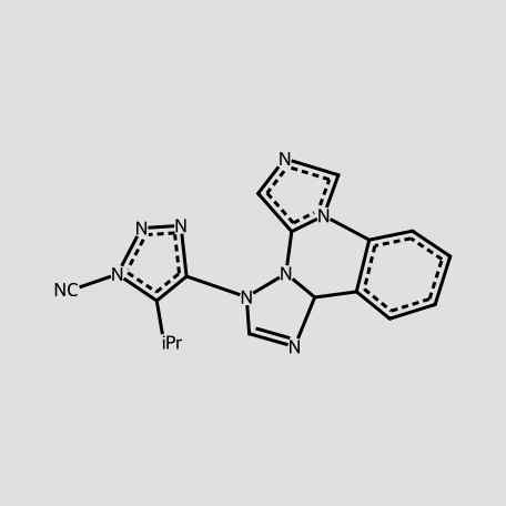 CC(C)c1c(N2C=NC3c4ccccc4-n4cncc4N32)nnn1C#N